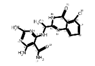 CC(Nc1nc(N)nc(N)c1C(N)=O)c1nc2cccc(Cl)c2c(=O)[nH]1